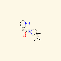 CC(C)[C@@]1(C)CCN(C(=O)[C@@H]2CCCN2)C1